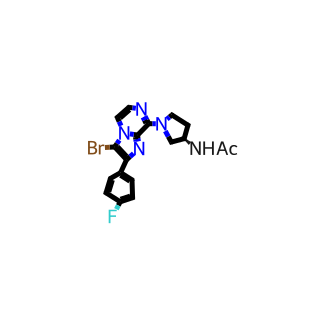 CC(=O)N[C@@H]1CCN(c2nccn3c(Br)c(-c4ccc(F)cc4)nc23)C1